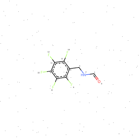 O=[C]NCc1c(F)c(F)c(F)c(F)c1F